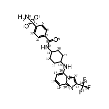 NS(=O)(=O)c1ccc(C(=O)NC2CCC(Nc3cccc4nc(C(F)(F)F)cn34)CC2)cc1